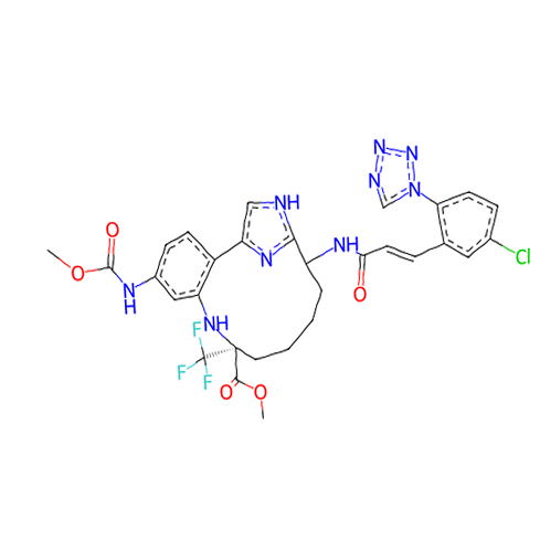 COC(=O)Nc1ccc2c(c1)N[C@@](C(=O)OC)(C(F)(F)F)CCCCC(NC(=O)C=Cc1cc(Cl)ccc1-n1cnnn1)c1nc-2c[nH]1